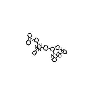 c1ccc(-c2nc(-c3ccc(-c4cccc(-c5nc6ccccc6c6oc(-c7ccccn7)c(-c7ccccn7)c56)c4)cc3)nc(-c3cccc(-n4c5ccccc5c5ccccc54)c3)n2)cc1